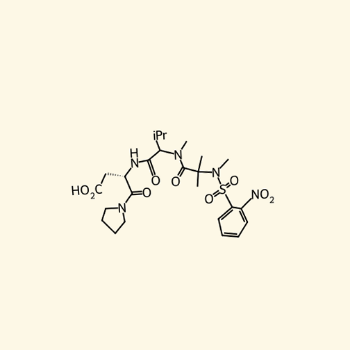 CC(C)C(C(=O)N[C@@H](CC(=O)O)C(=O)N1CCCC1)N(C)C(=O)C(C)(C)N(C)S(=O)(=O)c1ccccc1[N+](=O)[O-]